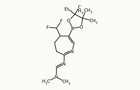 CCC1(C)OB(C2=CN=C(/N=C/N(C)C)CCC2C(F)F)OC1(C)C